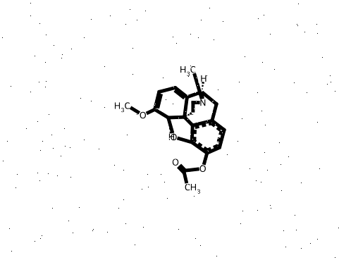 COC1=CC=C2[C@H]3Cc4ccc(OC(C)=O)c5c4[C@@]2(CCN3C)[C@H]1O5